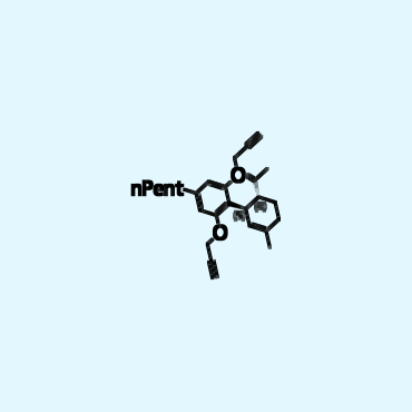 C#CCOc1cc(CCCCC)cc(OCC#C)c1[C@@H]1C=C(C)CC[C@H]1C(=C)C